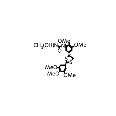 COc1cc([C@@H]2CS[C@@H](c3cc(OC)c(OC)c(OC)c3)S2)cc(NC(=O)N(C)O)c1OC